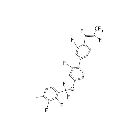 Cc1ccc(C(F)(F)Oc2ccc(-c3ccc(/C(F)=C(\F)C(F)(F)F)c(F)c3)c(F)c2)c(F)c1F